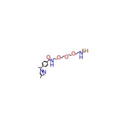 Cc1cnn(C(C)c2ccc(C(=O)NCCOCCOCCOCCNS)cc2)c1